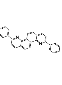 c1ccc(-c2ccc3ccc4c(ccc5ccc(-c6ccccc6)nc54)c3n2)cc1